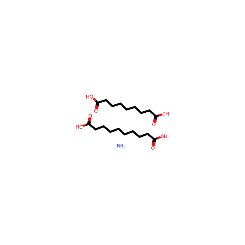 N.O=C(O)CCCCCCCC(=O)O.O=C(O)CCCCCCCCC(=O)O